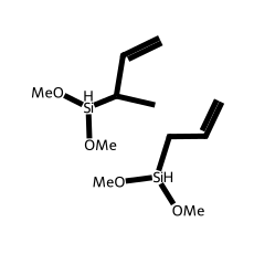 C=CC(C)[SiH](OC)OC.C=CC[SiH](OC)OC